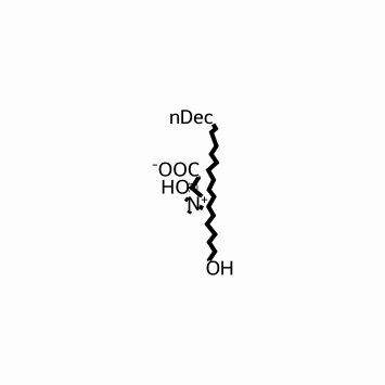 CCCCCCCCCCCCCCCCCCCCCCCCCCO.C[N+](C)(C)C[C@H](O)CC(=O)[O-]